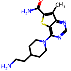 Cc1c(C(N)=O)sc2c(N3CCC(CCN)CC3)ncnc12